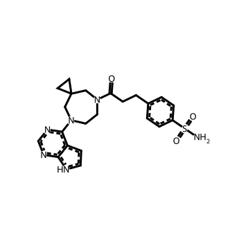 NS(=O)(=O)c1ccc(CCC(=O)N2CCN(c3ncnc4[nH]ccc34)CC3(CC3)C2)cc1